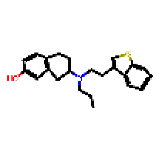 CCCN(CCc1csc2ccccc12)C1CCc2ccc(O)cc2C1